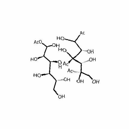 CC(=O)C(O)[C@H](O)[C@](O)(C(C)=O)[C@H](O)[C@](O)(CO)C(C)=O.CC(=O)OC(O)[C@H](O)[C@@H](O)[C@H](O)[C@H](O)CO